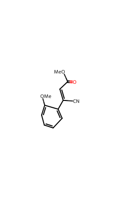 COC(=O)C=C(C#N)c1ccccc1OC